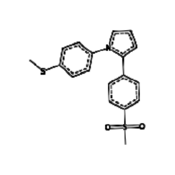 CSc1ccc(-n2cccc2-c2ccc(S(C)(=O)=O)cc2)cc1